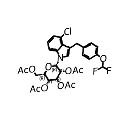 CC(=O)OC[C@H]1O[C@@H](n2cc(Cc3ccc(OC(F)F)cc3)c3c(Cl)cccc32)[C@H](OC(C)=O)[C@@H](OC(C)=O)[C@@H]1OC(C)=O